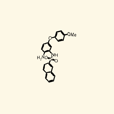 COc1ccc(Oc2ccc(N)c(NS(=O)(=O)c3ccc4ccccc4c3)c2)cc1